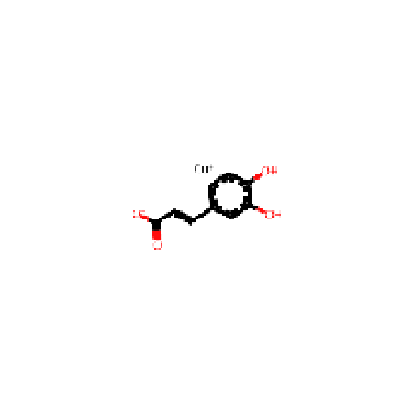 O=C([O-])/C=C/c1ccc(O)c(O)c1.[Cu+]